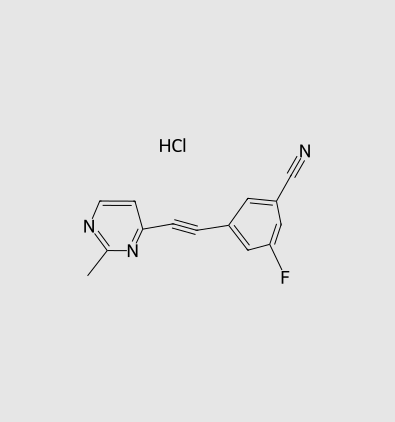 Cc1nccc(C#Cc2cc(F)cc(C#N)c2)n1.Cl